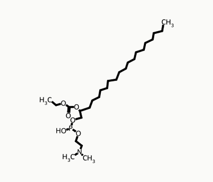 CCCCCCCCCCCCCCCCCCC(COP(O)OCCN(C)C)OC(=O)OCC